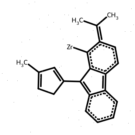 CC1=CCC(C2=c3ccccc3=c3ccc(=C(C)C)[c]([Zr])c32)=C1